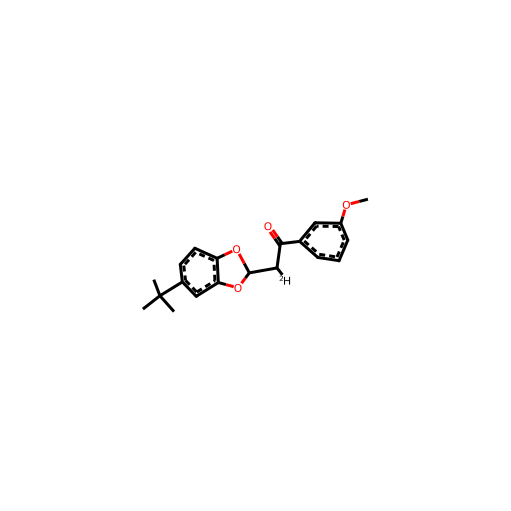 [2H]C(C(=O)c1cccc(OC)c1)C1Oc2ccc(C(C)(C)C)cc2O1